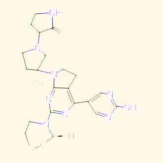 C[C@H]1COCCN1c1nc(-c2cnc(N)nc2)c2c(n1)N([C@@]1(C)CCN(C3CCNC3=O)C1)CC2